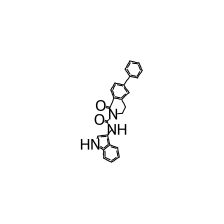 O=C(Nc1c[nH]c2ccccc12)N1CCc2cc(-c3ccccc3)ccc2C1=O